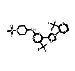 CS(=O)(=O)N1CCC(Nc2ncc(C(F)(F)F)c(-c3cn(-c4cccnc4C(F)(F)F)cn3)n2)CC1